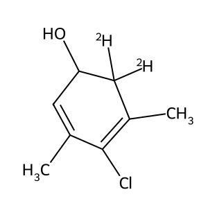 [2H]C1([2H])C(C)=C(Cl)C(C)=CC1O